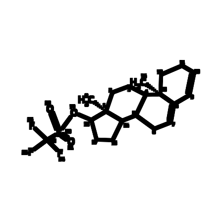 C[C@]12CCC3C(CC=C4C=CCC[C@@]43C)C1CCC2OS(=O)(=O)C(F)(F)F